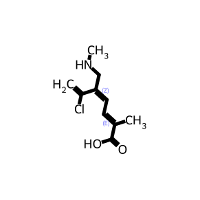 C=C(Cl)/C(=C\C=C(/C)C(=O)O)CNC